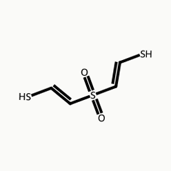 O=S(=O)(C=CS)C=CS